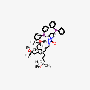 CC(C)O[Si](C)(C)CCC[Si](CCCNC(=O)N1C[C@@H](P(c2ccccc2)c2ccccc2)C[C@H]1CP(c1ccccc1)c1ccccc1)(CCC[Si](C)(C)OC(C)C)CCC[Si](C)(C)OC(C)C